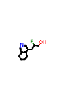 OC/C(F)=C/c1cncc2ccccc12